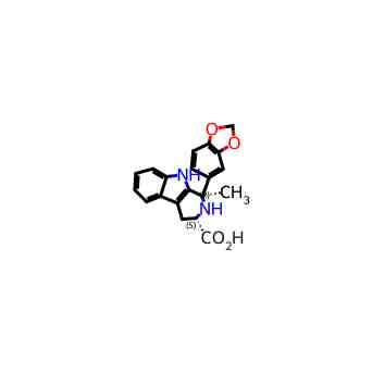 C[C@]1(c2ccc3c(c2)OCO3)N[C@H](C(=O)O)Cc2c1[nH]c1ccccc21